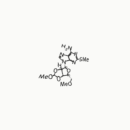 COC[C@H]1O[C@@H](n2cnc3c(N)nc(SC)nc32)[C@H]2OC(OC)OC12